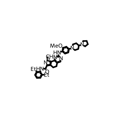 CCc1cccc(CC)c1NC(=O)c1nn(C)c2c1CCc1cnc(Nc3ccc(N4CCC(N5CCCC5)CC4)cc3OC)nc1-2